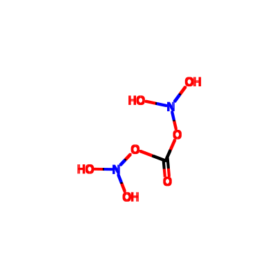 O=C(ON(O)O)ON(O)O